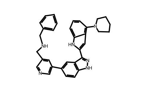 c1ccc(CNCc2cncc(-c3ccc4[nH]nc(-c5cc6c(N7CCCCC7)cccc6[nH]5)c4c3)c2)cc1